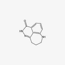 O=c1[nH]nc2c3c(cccc13)NCCC2